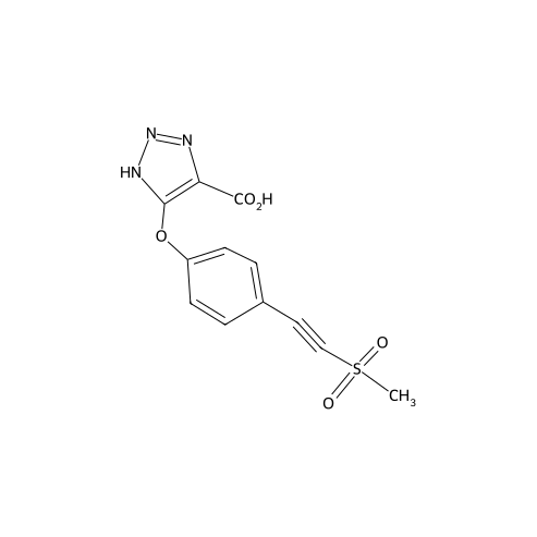 CS(=O)(=O)C#Cc1ccc(Oc2[nH]nnc2C(=O)O)cc1